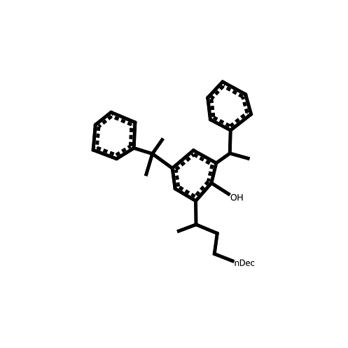 CCCCCCCCCCCCC(C)c1cc(C(C)(C)c2ccccc2)cc(C(C)c2ccccc2)c1O